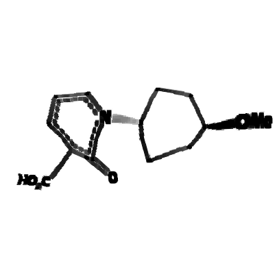 CO[C@H]1CC[C@H](n2cccc(C(=O)O)c2=O)CC1